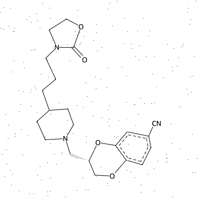 N#Cc1ccc2c(c1)O[C@@H](CN1CCC(CCCN3CCOC3=O)CC1)CO2